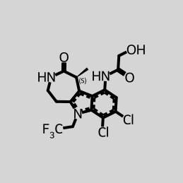 C[C@@H]1C(=O)NCCc2c1c1c(NC(=O)CO)cc(Cl)c(Cl)c1n2CC(F)(F)F